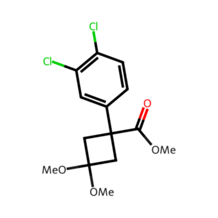 COC(=O)C1(c2ccc(Cl)c(Cl)c2)CC(OC)(OC)C1